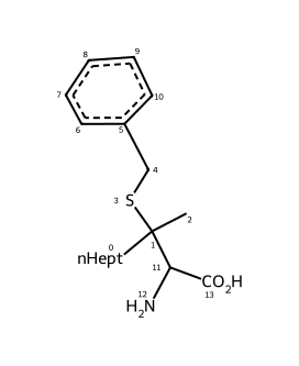 CCCCCCCC(C)(SCc1ccccc1)C(N)C(=O)O